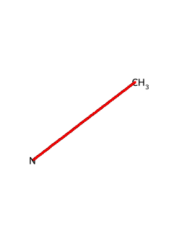 CC#CC#CC#CC#CC#CC#CC#CC#CC#CC#CC#CC#CC#CC#CC#CC#CC#CC#CC#CC#CC#CC#CC#CC#CC#CC#CC#CC#CC#CC#CC#CC#CC#CC#CC#CC#CC#CC#CC#CC#CC#CC#CC#CC#CC#CC#CC#CC#CC#CC#CC#CC#CC#CC#CC#CC#CC#CC#CC#CC#CC#CC#CC#N